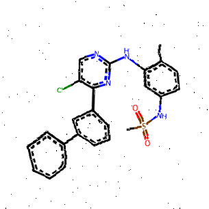 Cc1ccc(NS(C)(=O)=O)cc1Nc1ncc(Cl)c(-c2cccc(-c3ccccc3)c2)n1